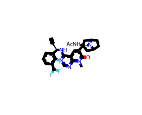 C#C[C@@H](Nc1ncnc2c1cc(C1(NC(C)=O)CC3CCC(C1)N3C(C)=O)c(=O)n2C)c1cccc(C(F)F)c1F